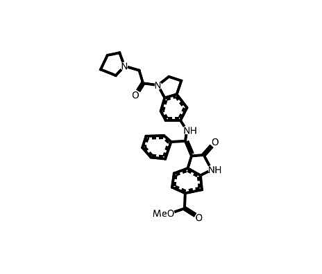 COC(=O)c1ccc2c(c1)NC(=O)/C2=C(\Nc1ccc2c(c1)CCN2C(=O)CN1CCCC1)c1ccccc1